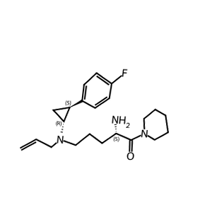 C=CCN(CCC[C@H](N)C(=O)N1CCCCC1)[C@@H]1C[C@H]1c1ccc(F)cc1